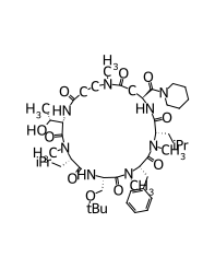 CC(C)C[C@H]1C(=O)N[C@@H](COC(C)(C)C)C(=O)N(C)[C@@H](Cc2ccccc2)C(=O)N(C)[C@@H](CC(C)C)C(=O)N[C@H](C(=O)N2CCCCC2)CC(=O)N(C)CCC(=O)N[C@@H]([C@@H](C)O)C(=O)N1C